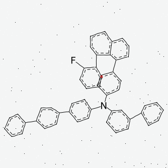 Fc1ccccc1-c1cccc2cccc(-c3ccc(N(c4ccc(-c5ccc(-c6ccccc6)cc5)cc4)c4cccc(-c5ccccc5)c4)cc3)c12